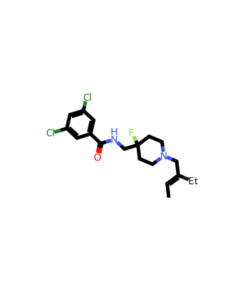 CC=C(CC)CN1CCC(F)(CNC(=O)c2cc(Cl)cc(Cl)c2)CC1